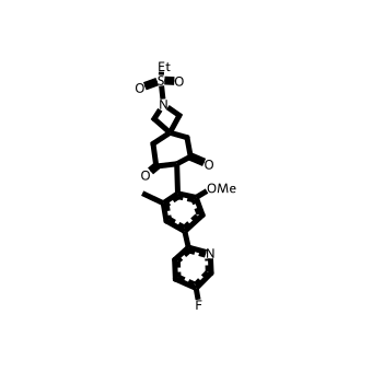 CCS(=O)(=O)N1CC2(CC(=O)C(c3c(C)cc(-c4ccc(F)cn4)cc3OC)C(=O)C2)C1